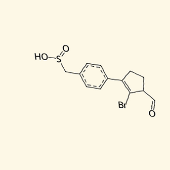 O=CC1CCC(c2ccc(CS(=O)O)cc2)=C1Br